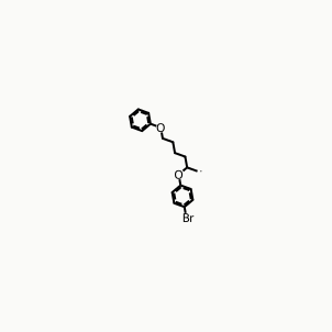 [CH2]C(CCCCOc1ccccc1)Oc1ccc(Br)cc1